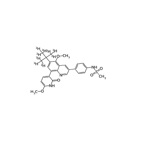 [2H]C([2H])([2H])C(c1cc(-c2ccc(OC)[nH]c2=O)c2ncc(-c3ccc(NS(C)(=O)=O)cc3)cc2c1OC)(C([2H])([2H])[2H])C([2H])([2H])[2H]